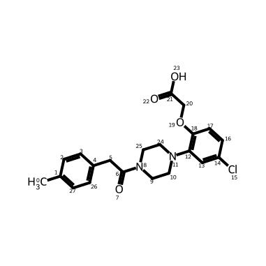 Cc1ccc(CC(=O)N2CCN(c3cc(Cl)ccc3OCC(=O)O)CC2)cc1